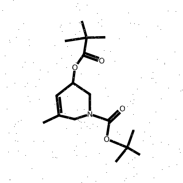 CC1=CC(OC(=O)C(C)(C)C)CN(C(=O)OC(C)(C)C)C1